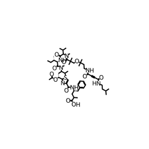 CC[C@H](C)[C@H](NC(=O)C(C(C)C)N(C)C(=O)C(C)(C)COC(C)(C)CCNC(=O)C#CC(=O)NCCC(C)C)C(=O)N(C)C(C[C@@H](OC(C)=O)c1nc(C(=O)N[C@@H](Cc2ccccc2)CC(C)C(=O)O)cs1)C(C)C